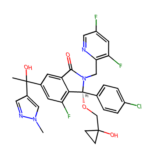 Cn1cc(C(C)(O)c2cc(F)c3c(c2)C(=O)N(Cc2ncc(F)cc2F)[C@@]3(OCC2(O)CC2)c2ccc(Cl)cc2)cn1